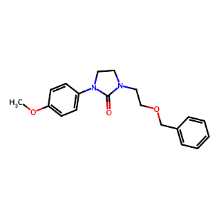 COc1ccc(N2CCN(CCOCc3ccccc3)C2=O)cc1